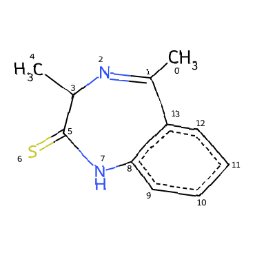 CC1=NC(C)C(=S)Nc2ccccc21